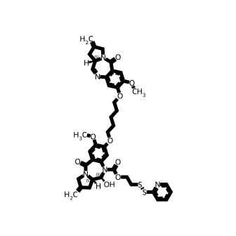 C=C1C[C@H]2C=Nc3cc(OCCCCCOc4cc5c(cc4OC)C(=O)N4CC(=C)C[C@H]4[C@H](O)N5C(=O)OCCSSc4ccccn4)c(OC)cc3C(=O)N2C1